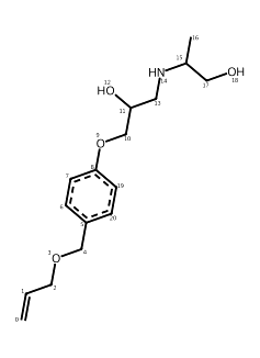 C=CCOCc1ccc(OCC(O)CNC(C)CO)cc1